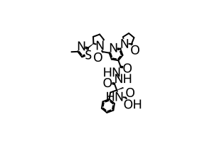 Cc1csc([C@H]2CCCN2C(=O)c2cc(C(=O)NNC(=O)[C@@](C)(Cc3ccccc3)NC(=O)O)cc(N3CCCC3=O)n2)n1